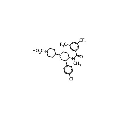 CN(C(=O)c1cc(C(F)(F)F)cc(C(F)(F)F)c1)C1CCN(C2CCN(C(=O)O)CC2)CC1c1ccc(Cl)cc1